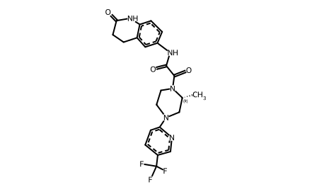 C[C@@H]1CN(c2ccc(C(F)(F)F)cn2)CCN1C(=O)C(=O)Nc1ccc2c(c1)CCC(=O)N2